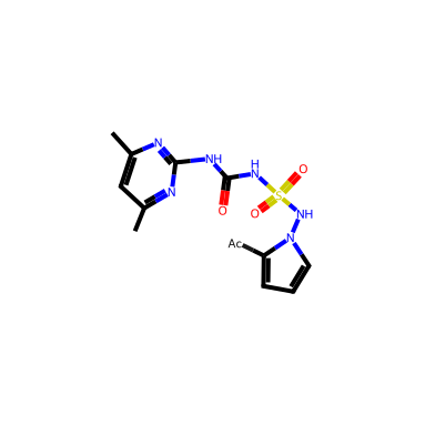 CC(=O)c1cccn1NS(=O)(=O)NC(=O)Nc1nc(C)cc(C)n1